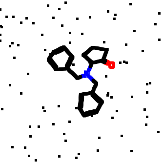 O=C1CCCC1N(Cc1ccccc1)Cc1ccccc1